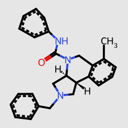 Cc1cccc2c1CN(C(=O)Nc1ccccc1)[C@@H]1CN(Cc3ccccc3)C[C@@H]21